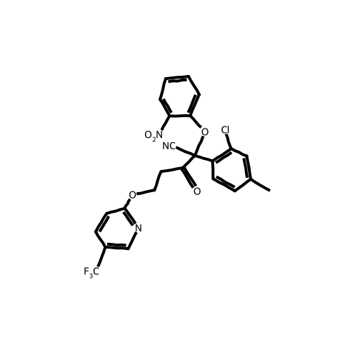 Cc1ccc(C(C#N)(Oc2ccccc2[N+](=O)[O-])C(=O)CCOc2ccc(C(F)(F)F)cn2)c(Cl)c1